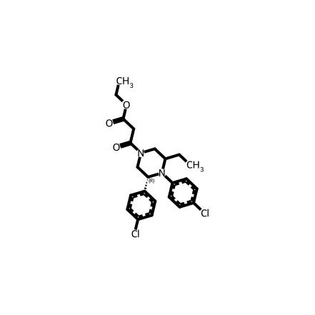 CCOC(=O)CC(=O)N1CC(CC)N(c2ccc(Cl)cc2)[C@H](c2ccc(Cl)cc2)C1